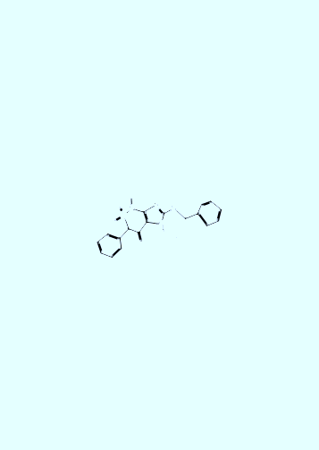 CCN1c2nc(NCc3ccccc3)n(C)c2C(=O)C(c2ccccc2)S1(=O)=O